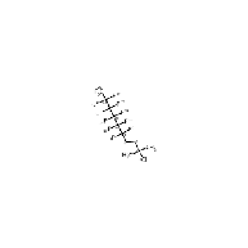 CS(C)(Cl)CCC(F)(F)C(F)(F)C(F)(F)C(F)(F)C(F)(F)C(F)(F)F